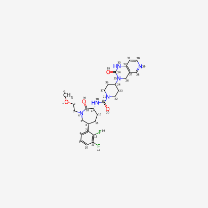 COCCN1C[C@H](c2cccc(F)c2F)CC[C@@H](NC(=O)N2CCC(N3Cc4cnccc4NC3=O)CC2)C1=O